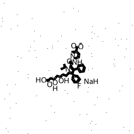 COC(=O)c1ccc(NC(=O)c2c(-c3ccccc3)c(-c3ccc(F)cc3)c(CCC(O)CC(O)CC(=O)O)n2C(C)C)nc1.[NaH]